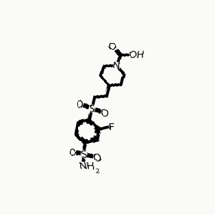 NS(=O)(=O)c1ccc(S(=O)(=O)CCC2CCN(C(=O)O)CC2)c(F)c1